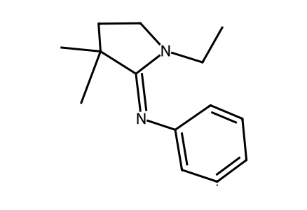 CCN1CCC(C)(C)C1=Nc1c[c]ccc1